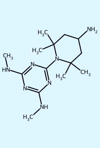 CNc1nc(NC)nc(N2C(C)(C)CC(N)CC2(C)C)n1